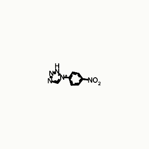 O=[N+]([O-])c1ccc(-[n+]2cnn[nH]2)cc1